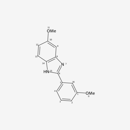 COc1cccc(-c2nc3cc(OC)ccc3[nH]2)c1